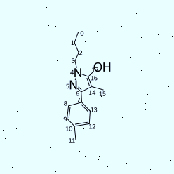 CCCCn1nc(-c2ccc(C)cc2)c(C)c1O